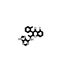 Cc1ccccc1-c1c(C(C)Nc2ncnc3[nH]cnc23)oc2cccc(F)c2c1=O